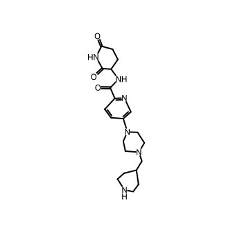 O=C1CCC(NC(=O)c2ccc(N3CCN(CC4CCNCC4)CC3)cn2)C(=O)N1